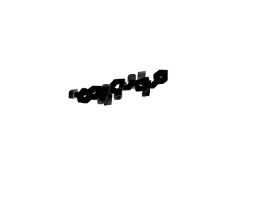 O=C1[C@@H](NS(=O)(=O)c2ccc3cc(Cl)ccc3c2)CCCN1CC(=O)N1C[C@H]2C[C@@H]1CN2Cc1ccccc1